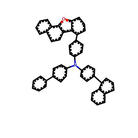 c1ccc(-c2ccc(N(c3ccc(-c4cccc5ccccc45)cc3)c3ccc(-c4cccc5oc6c7ccccc7ccc6c45)cc3)cc2)cc1